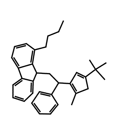 CCCCc1cccc2c1C(CC(C1=C(C)CC(C(C)(C)C)=C1)c1ccccc1)c1ccccc1-2